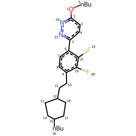 CCCCOc1ccc(-c2ccc(CCC3CCC(CCCC)CC3)c(F)c2F)nn1